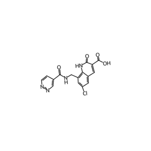 O=C(NCc1cc(Cl)cc2cc(C(=O)O)c(=O)[nH]c12)c1ccnnc1